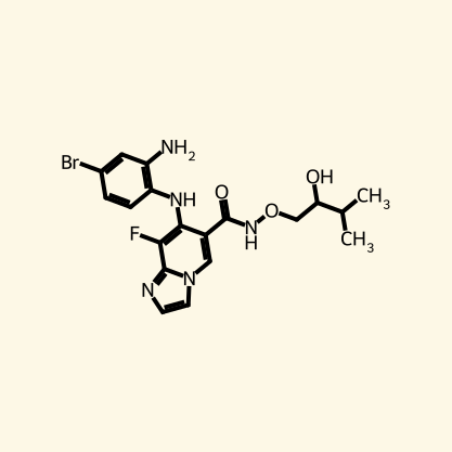 CC(C)C(O)CONC(=O)c1cn2ccnc2c(F)c1Nc1ccc(Br)cc1N